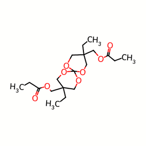 CCC(=O)OCC1(CC)COC2(OC1)OCC(CC)(COC(=O)CC)CO2